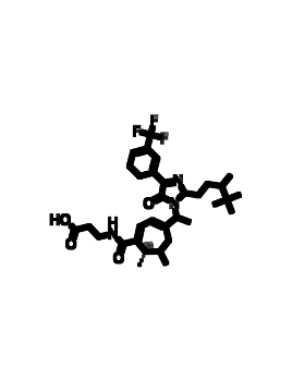 CC1CC(C(C)N2C(=O)C(C3=CC(C(F)(F)F)=CCC3)=NC2CCC(C)C(C)(C)C)=CC=C(C(=O)NCCC(=O)O)[C@H]1C